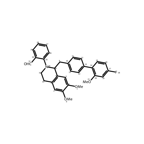 COc1cc2c(cc1OC)C(Cc1ccc(-c3ccc(F)cc3OC)cc1)N(c1ccccc1C=O)CC2